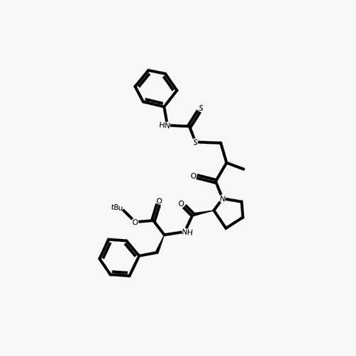 CC(CSC(=S)Nc1ccccc1)C(=O)N1CCC[C@H]1C(=O)N[C@@H](Cc1ccccc1)C(=O)OC(C)(C)C